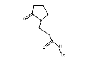 CCNC(=O)CCN1CCCC1=O